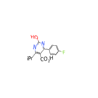 CC(C)c1nc(O)nc(-c2ccc(F)cc2)c1C(=O)O